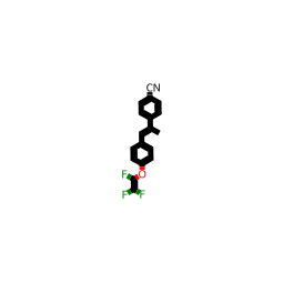 C/C(=C\c1ccc(OC(F)=C(F)F)cc1)c1ccc(C#N)cc1